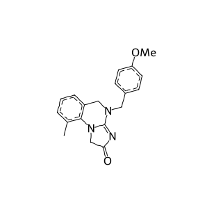 COc1ccc(CN2Cc3cccc(C)c3N3CC(=O)N=C23)cc1